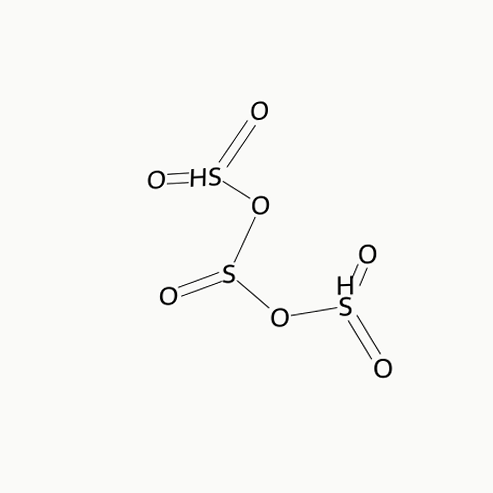 O=S(O[SH](=O)=O)O[SH](=O)=O